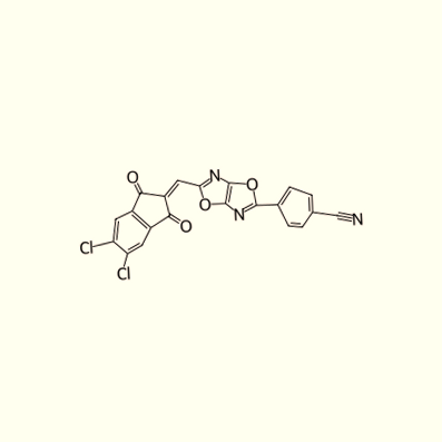 N#Cc1ccc(-c2nc3oc(C=C4C(=O)c5cc(Cl)c(Cl)cc5C4=O)nc3o2)cc1